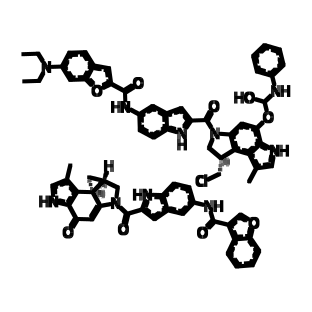 CCN(CC)c1ccc2cc(C(=O)Nc3ccc4[nH]c(C(=O)N5C[C@@H](CCl)c6c5cc(OC(O)Nc5ccccc5)c5[nH]cc(C)c65)cc4c3)oc2c1.Cc1c[nH]c2c1[C@@]13C[C@@H]1CN(C(=O)c1cc4cc(NC(=O)c5coc6ccccc56)ccc4[nH]1)C3=CC2=O